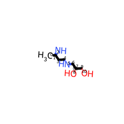 CC(=N)CCNC[C@@H](O)CO